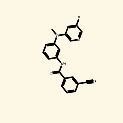 CN(c1cncc(F)c1)c1cccc(NC(=O)c2cccc(C#N)c2)c1